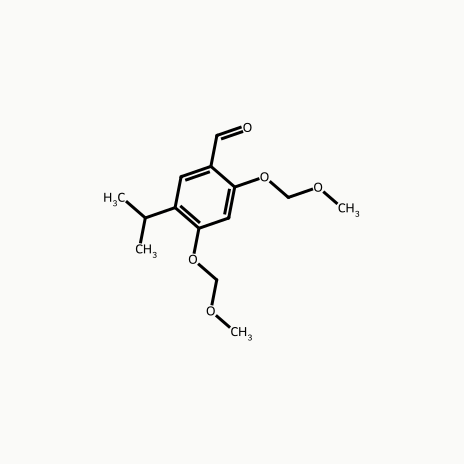 COCOc1cc(OCOC)c(C(C)C)cc1C=O